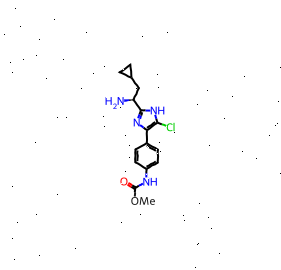 COC(=O)Nc1ccc(-c2nc([C@@H](N)CC3CC3)[nH]c2Cl)cc1